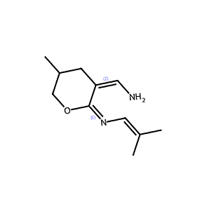 CC(C)=C/N=C1/OCC(C)C/C1=C/N